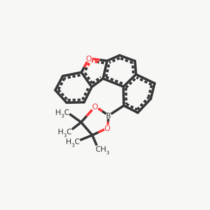 CC1(C)OB(c2cccc3ccc4oc5ccccc5c4c23)OC1(C)C